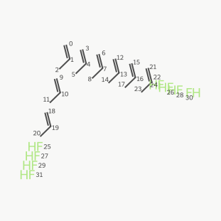 C=CC.C=CC.C=CC.C=CC.C=CC.C=CC.C=CC.C=CC.F.F.F.F.F.F.F.F